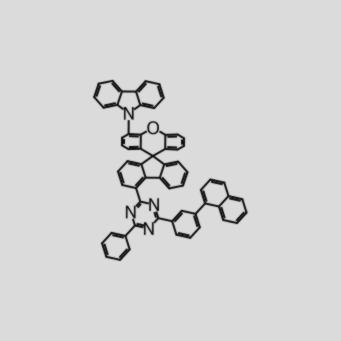 c1ccc(-c2nc(-c3cccc(-c4cccc5ccccc45)c3)nc(-c3cccc4c3-c3ccccc3C43c4ccccc4Oc4c(-n5c6ccccc6c6ccccc65)cccc43)n2)cc1